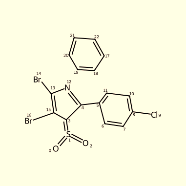 O=S(=O)=C1C(c2ccc(Cl)cc2)=NC(Br)=C1Br.c1ccccc1